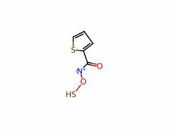 O=C([N+]OS)c1cccs1